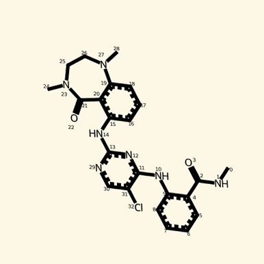 CNC(=O)c1ccccc1Nc1nc(Nc2cccc3c2C(=O)N(C)CCN3C)ncc1Cl